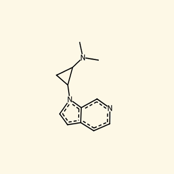 CN(C)C1CC1n1ccc2ccncc21